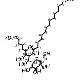 CCCCCCCCCCCCCCCCCCCCCCCC(=O)NC(C(O)CCCCCCCCCCCCCCC)C(O)[C@@H]1O[C@H](CO)[C@H](O)[C@H](O)[C@H]1O